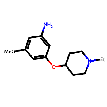 CCN1CCC(Oc2cc(N)cc(OC)c2)CC1